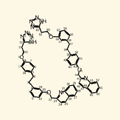 c1cc(CCc2ccc(OCCc3nnn[nH]3)cc2)cc(OCc2ccc3ccccc3n2)c1.c1cc(CCc2ccc(OCc3ccc4ccccc4n3)cc2)cc(OCCc2nnn[nH]2)c1